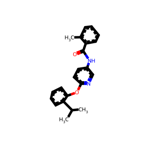 Cc1ccccc1C(=O)Nc1ccc(Oc2ccccc2C(C)C)nc1